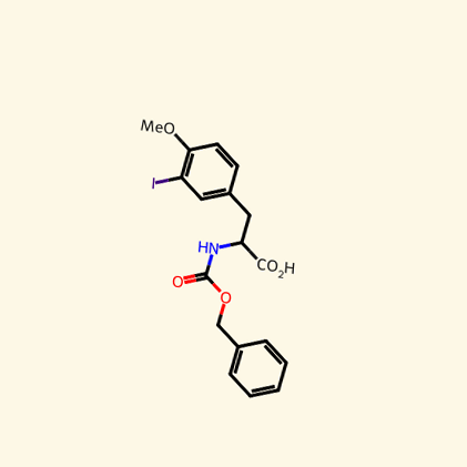 COc1ccc(CC(NC(=O)OCc2ccccc2)C(=O)O)cc1I